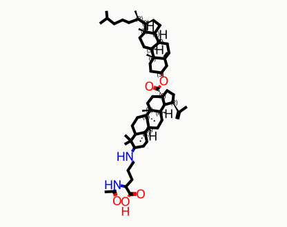 C=C(C)[C@@H]1CC[C@]2(C(=O)O[C@H]3CC[C@@]4(C)C(=CC[C@H]5[C@@H]6CC[C@H]([C@H](C)CCCC(C)C)[C@@]6(C)CC[C@@H]54)C3)CC[C@]3(C)[C@H](CC[C@@H]4[C@@]5(C)CCC(NCCCC(NC(C)=O)C(=O)O)C(C)(C)C5CC[C@]43C)C12